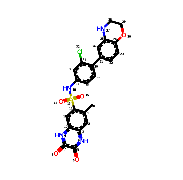 Cc1cc2[nH]c(=O)c(=O)[nH]c2cc1S(=O)(=O)Nc1ccc(-c2ccc3c(c2)NCCO3)c(Cl)c1